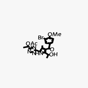 COc1ccc(C(=O)c2c(C(C)O)[nH]c(-c3nnn(C(C)OC(C)=O)n3)c2C)cc1Br